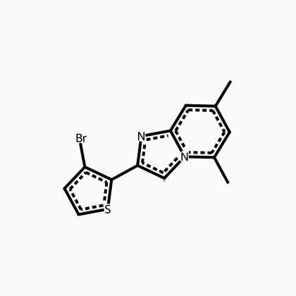 Cc1cc(C)n2[c]c(-c3sccc3Br)nc2c1